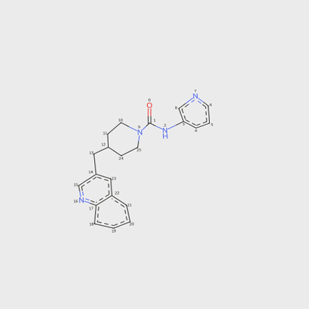 O=C(Nc1cccnc1)N1CCC(Cc2cnc3ccccc3c2)CC1